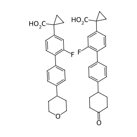 O=C(O)C1(c2ccc(-c3ccc(C4CCOCC4)cc3)c(F)c2)CC1.O=C1CCC(c2ccc(-c3ccc(C4(C(=O)O)CC4)cc3F)cc2)CC1